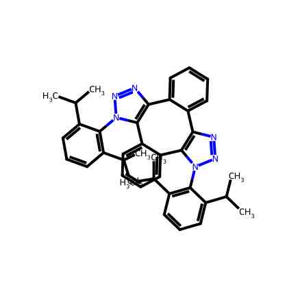 CC(C)c1cccc(C(C)C)c1-n1nnc2c1-c1ccccc1-c1c(nnn1-c1c(C(C)C)cccc1C(C)C)-c1ccccc1-2